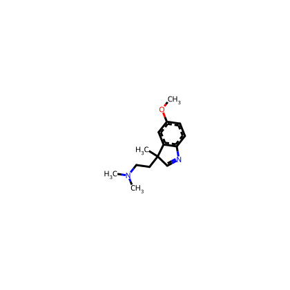 COc1ccc2c(c1)C(C)(CCN(C)C)C=N2